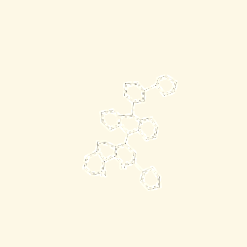 c1ccc(-c2cccc(-c3c4ccccc4c(-c4cc(-c5ccccc5)nc5c4ccc4cccnc45)c4ccccc34)c2)cc1